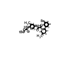 Cc1cc(NC(=O)C(=O)N2C[C@@H](C)CC[C@@H]2c2cccc(Br)c2)cnc1NC(=O)OC(C)(C)C